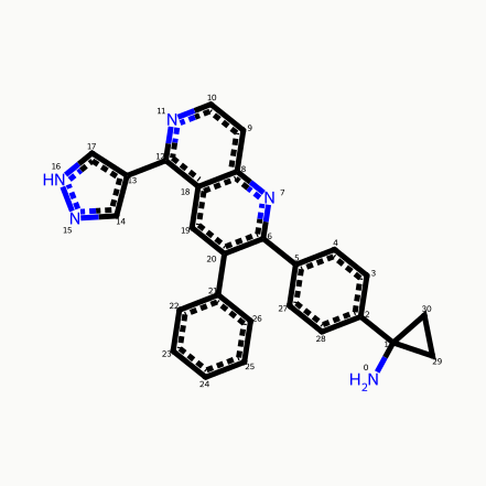 NC1(c2ccc(-c3nc4ccnc(-c5cn[nH]c5)c4cc3-c3ccccc3)cc2)CC1